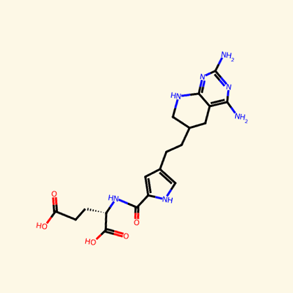 Nc1nc(N)c2c(n1)NCC(CCc1c[nH]c(C(=O)N[C@@H](CCC(=O)O)C(=O)O)c1)C2